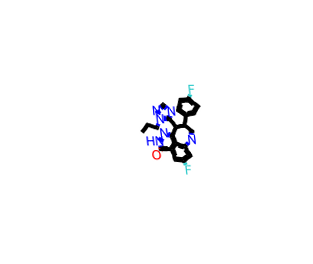 CCCn1ncnc1C1c2n[nH]c(=O)c3cc(F)cc(c23)N=CC1c1ccc(F)cc1